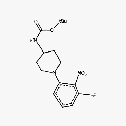 CC(C)(C)OC(=O)NC1CCN(c2cccc(F)c2[N+](=O)[O-])CC1